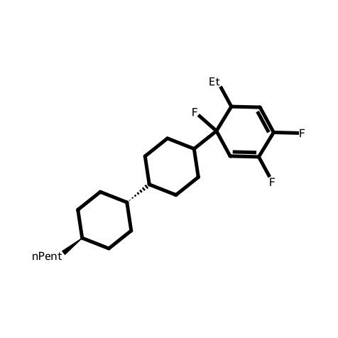 CCCCC[C@H]1CC[C@H](C2CCC(C3(F)C=C(F)C(F)=CC3CC)CC2)CC1